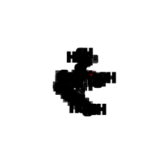 CNc1cncc(COc2cc(OCc3cccc(-c4cccc(-c5ccc6oc(CNC[C@@H](O)CC(=O)O)cc6c5)c4C)c3C)c(Cl)cc2CNC[C@@H](O)CC(=O)O)c1